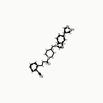 N#Cc1ccccc1CCC(=O)N1CCC(Cn2cnc3cc(-c4cn[nH]c4)ccc32)CC1